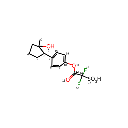 CC1(O)CCCC1c1ccc(OC(=O)C(F)(F)S(=O)(=O)O)cc1